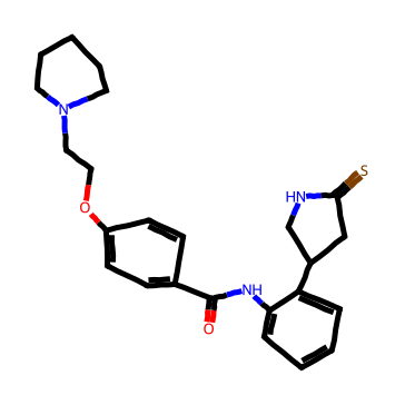 O=C(Nc1ccccc1C1CNC(=S)C1)c1ccc(OCCN2CCCCC2)cc1